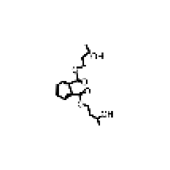 CC(O)CCOC(=O)c1ccccc1C(=O)OCCC(C)O